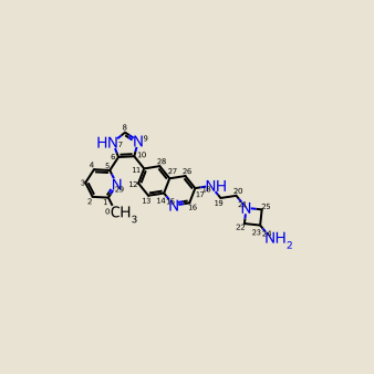 Cc1cccc(-c2[nH]cnc2-c2ccc3ncc(NCCN4CC(N)C4)cc3c2)n1